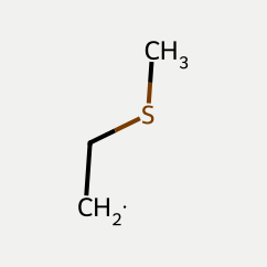 [CH2]CSC